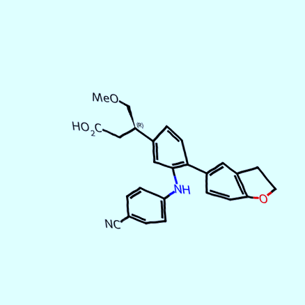 COC[C@H](CC(=O)O)c1ccc(-c2ccc3c(c2)CCO3)c(Nc2ccc(C#N)cc2)c1